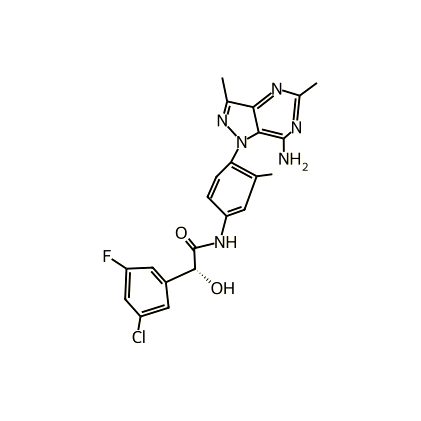 Cc1nc(N)c2c(n1)c(C)nn2-c1ccc(NC(=O)[C@H](O)c2cc(F)cc(Cl)c2)cc1C